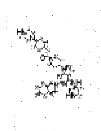 O=C(Cc1ccc(N2CCNCC2)cc1)N1CCC(n2ncc3c(Nc4cc[nH]n4)nc(NCc4ccc(F)cc4F)nc32)CC1